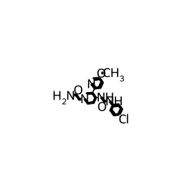 COc1ccc([C@@H]2CN(CC(N)=O)CC[C@H]2NC(=O)Nc2ccc(Cl)cc2)nc1